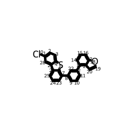 Clc1ccc2sc3c(-c4cccc(-c5cccc6occc56)c4)cccc3c2c1